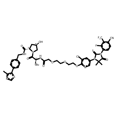 Cc1ncsc1-c1ccc(CNC(=O)[C@@H]2C[C@@H](O)CN2C(=O)[C@@H](NC(=O)COCCOCCOc2ncc(N3C(=S)N(c4ccc(C#N)c(C(F)(F)F)c4F)C(=O)C3(C)C)cc2Cl)C(C)(C)C)cc1